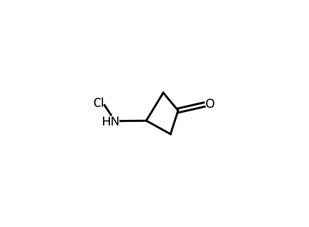 O=C1CC(NCl)C1